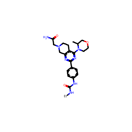 CCNC(=O)Nc1ccc(-c2nc3c(c(N4CCOCC4C)n2)CCN(CC(N)=O)C3)cc1